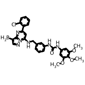 Bc1cnn2c(NCc3cccc(NC(=O)Nc4cc(OC)c(OC)c(OC)c4)c3)cc(-c3ccccc3Cl)nc12